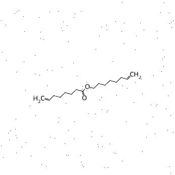 C=CCCCCCCOC(=O)CCCCCC=C